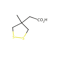 CC1(CC(=O)O)CSSC1